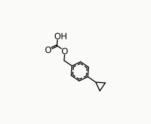 O=C(O)OCc1ccc(C2CC2)cc1